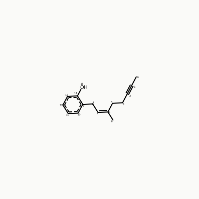 CC#CCCC(C)=CCc1ccccc1O